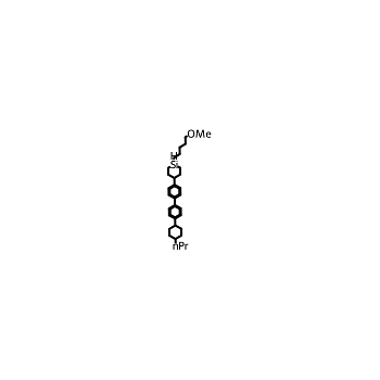 CCCC1CCC(c2ccc(-c3ccc(C4CC[SiH](CCCCCOC)CC4)cc3)cc2)CC1